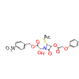 CC(=O)SC1C(OC(=O)COc2ccccc2)C(=O)N1[C@H](O)C(=O)OCc1ccc([N+](=O)[O-])cc1